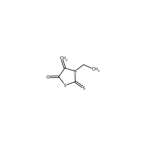 C=C1C(=O)SC(=S)N1CC